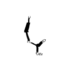 COC(=O)OC#CCl